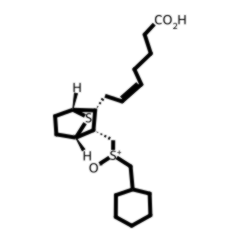 O=C(O)CCC/C=C\C[C@@H]1[C@H](C[S+]([O-])CC2CCCCC2)[C@@H]2CC[C@H]1S2